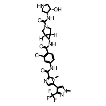 Cn1cc(-c2cnc(C(=O)Nc3ccc(C(=O)N[C@H]4[C@@H]5CN(C(=O)N[C@@H]6CNC[C@H]6O)C[C@@H]54)c(Cl)c3)n2C)c(C(F)(F)F)n1